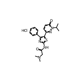 CC(C)n1nc(-c2sc(NC(=O)CN(C)C)nc2-c2ccccc2)ccc1=O.Cl